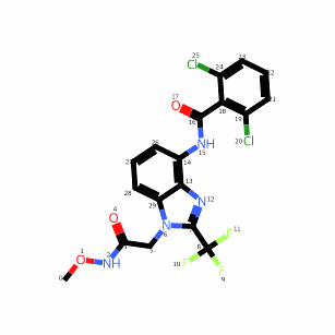 CONC(=O)Cn1c(C(F)(F)F)nc2c(NC(=O)c3c(Cl)cccc3Cl)cccc21